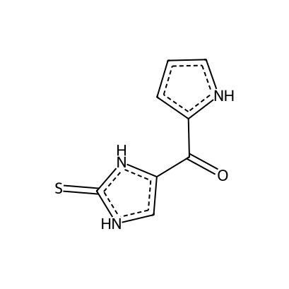 O=C(c1ccc[nH]1)c1c[nH]c(=S)[nH]1